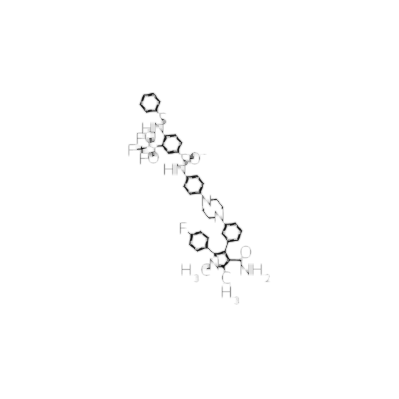 Cc1c(C(N)=O)c(-c2cccc(N3CCN(c4ccc(N[S+]([O-])c5ccc(NSc6ccccc6)c(S(=O)(=O)C(F)(F)F)c5)cc4)CC3)c2)c(-c2ccc(F)cc2)n1C